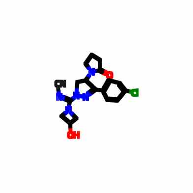 N#C/N=C(/N1CC(O)C1)N1CC(N2CCCC2=O)C(c2ccc(Cl)cc2)=N1